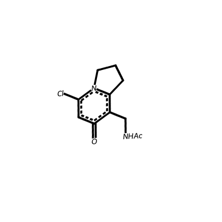 CC(=O)NCc1c2n(c(Cl)cc1=O)CCC2